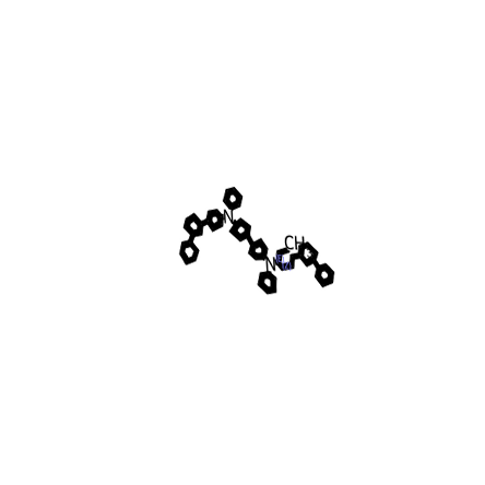 CC/C=C(\C=C/CC1=CCCC(c2ccccc2)=C1)N(c1ccccc1)c1ccc(-c2ccc(N(c3ccccc3)c3ccc(-c4cccc(C5=CC=CCC5)c4)cc3)cc2)cc1